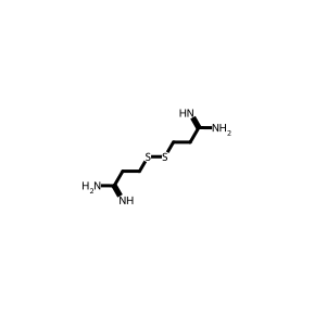 N=C(N)CCSSCCC(=N)N